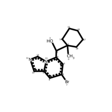 CC1(C(O)c2cc(Br)cc3cncn23)CCCCC1